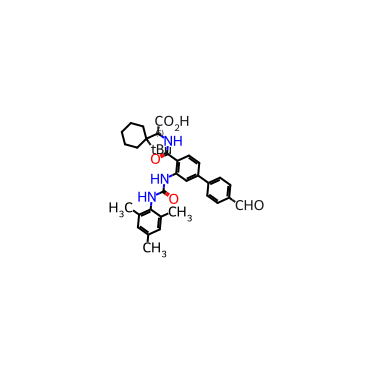 Cc1cc(C)c(NC(=O)Nc2cc(-c3ccc(C=O)cc3)ccc2C(=O)N[C@H](C(=O)O)C2(C(C)(C)C)CCCCC2)c(C)c1